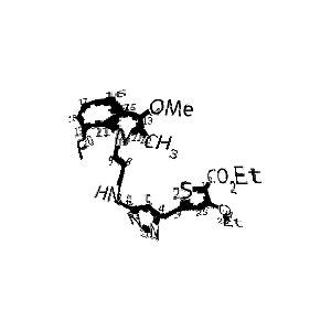 CCOC(=O)c1sc(-c2cc(NCCn3c(C)c(OC)c4cccc(F)c43)ncn2)cc1OCC